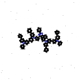 c1ccc(-c2ccc3c(c2)c2cc(-c4ccc5c(c4)c4cc(-c6ccccc6)ccc4n5-c4cccc(-c5nc(-c6ccccc6)nc6c5-c5ccc(-n7c8ccc(-c9ccccc9)cc8c8cc(-c9ccc%10c(c9)c9cc(-c%11ccccc%11)ccc9n%10-c9ccccc9)ccc87)c7cccc-6c57)c4)ccc2n3-c2ccccc2)cc1